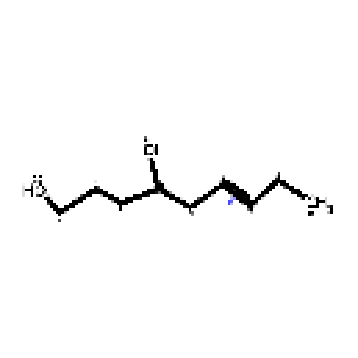 CC/C=C/CC(O)CCCO